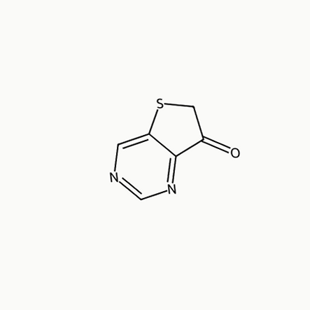 O=C1CSc2cncnc21